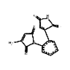 CC1=CC(=O)N(c2ccccc2C2=CC(=O)NC2=O)C1=O